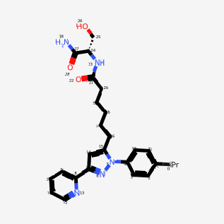 CC(C)c1ccc(-n2nc(-c3ccccn3)cc2CCCCCC(=O)N[C@@H](CO)C(N)=O)cc1